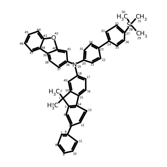 CC1(C)c2cc(-c3ccccc3)ccc2-c2ccc(N(c3ccc(-c4ccc([Si](C)(C)C)cc4)cc3)c3ccc4c(c3)oc3ccccc34)cc21